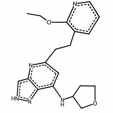 CCOc1ncccc1CCc1cc(NC2CCOC2)c2n[nH]cc2n1